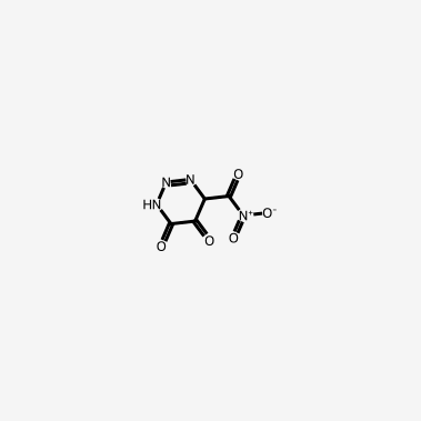 O=C1NN=NC(C(=O)[N+](=O)[O-])C1=O